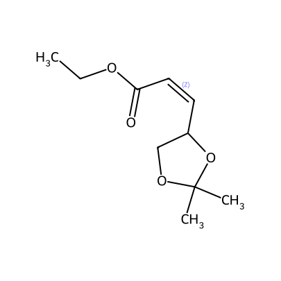 CCOC(=O)/C=C\C1COC(C)(C)O1